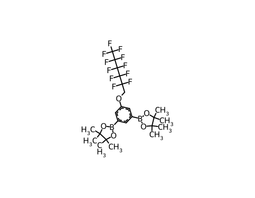 CC1(C)OB(c2cc(OCC(F)(F)C(F)(F)C(F)(F)C(F)(F)C(F)(F)F)cc(B3OC(C)(C)C(C)(C)O3)c2)OC1(C)C